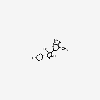 Cc1cc(-c2[nH]nc(C3CCNCC3)c2C(C)C)cn2ncnc12